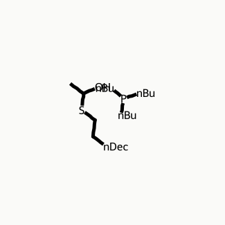 CCCCCCCCCCCCSC(C)O.CCCCP(CCCC)CCCC